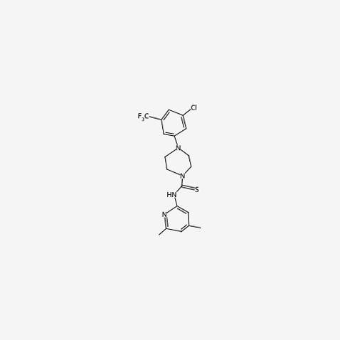 Cc1cc(C)nc(NC(=S)N2CCN(c3cc(Cl)cc(C(F)(F)F)c3)CC2)c1